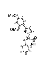 COc1ccc(-c2csc(N3Cc4ccccc4NC3=O)n2)c(OC)c1